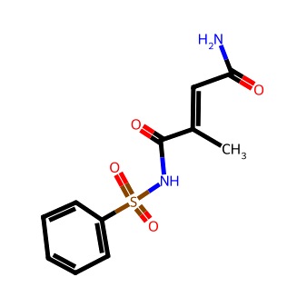 C/C(=C\C(N)=O)C(=O)NS(=O)(=O)c1ccccc1